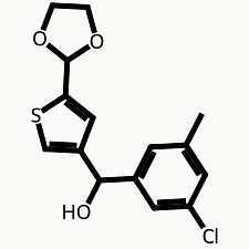 Cc1cc(Cl)cc(C(O)c2csc(C3OCCO3)c2)c1